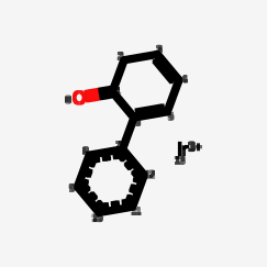 O=C1CC=CC=C1c1ccccc1.[Ir+3]